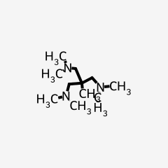 CN(C)CC(C)(CN(C)C)CN(C)C